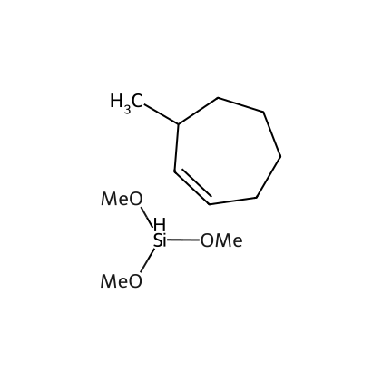 CC1C=CCCCC1.CO[SiH](OC)OC